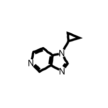 c1cc2c(cn1)ncn2C1CC1